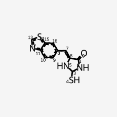 O=C1NC(S)N/C1=C\c1ccc2ncsc2c1